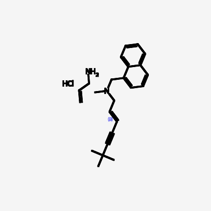 C=CCN.CN(C/C=C/C#CC(C)(C)C)Cc1cccc2ccccc12.Cl